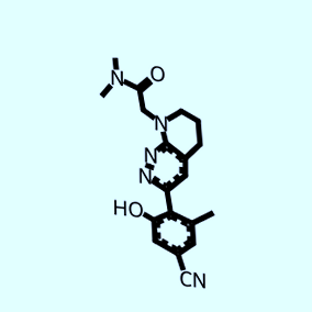 Cc1cc(C#N)cc(O)c1-c1cc2c(nn1)N(CC(=O)N(C)C)CCC2